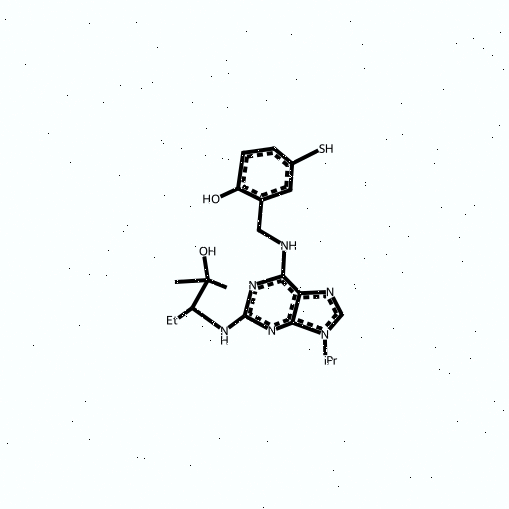 CCC(Nc1nc(NCc2cc(S)ccc2O)c2ncn(C(C)C)c2n1)C(C)(C)O